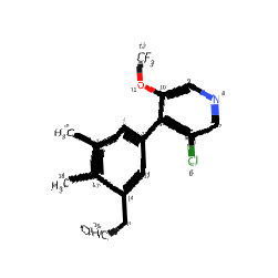 Cc1cc(-c2c(Cl)cncc2OC(F)(F)F)cc(CC=O)c1C